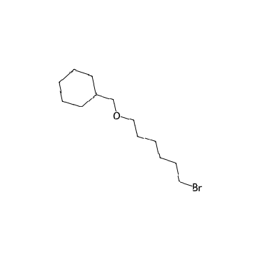 BrCCCCCCOCC1CCCCC1